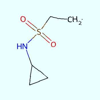 [CH2]CS(=O)(=O)NC1CC1